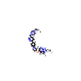 Cc1nc2nc(C)c(OC3CCN(c4ccc(-c5ccc(CN6CCN(C)CC6)nn5)cc4)C3)c(C)n2n1